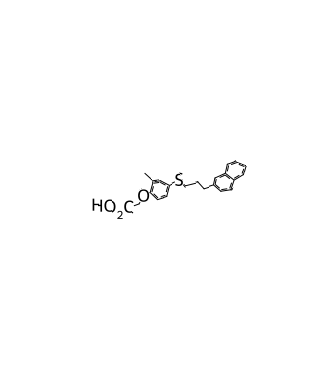 Cc1cc(SCCCc2ccc3ccccc3c2)ccc1OCC(=O)O